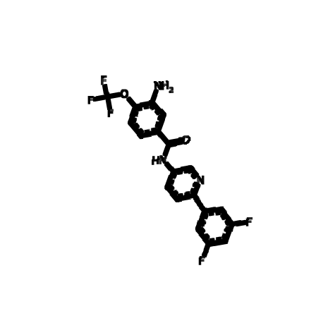 Nc1cc(C(=O)Nc2ccc(-c3cc(F)cc(F)c3)nc2)ccc1OC(F)(F)F